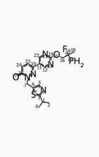 CC(C)c1ncc(Cn2nc(-c3cnc(OCC(C)(F)P)nc3)ccc2=O)s1